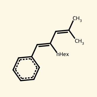 CCCCCC/C(C=C(C)C)=C\c1ccccc1